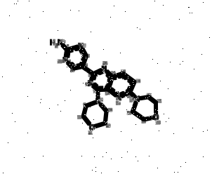 Nc1ncc(-c2nc(N3CCOCC3)c3nc(N4CCOCC4)ccc3n2)cn1